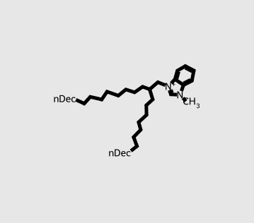 CCCCCCCCCCCCCCCCCCC(CCCCCCCCCCCCCCCCC)C[n+]1cn(C)c2ccccc21